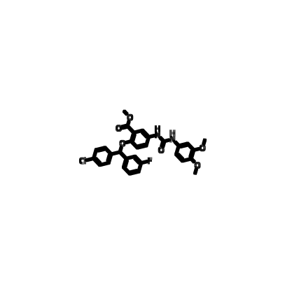 COC(=O)c1cc(NC(=O)Nc2ccc(OC)c(OC)c2)ccc1OC(c1ccc(Cl)cc1)c1cccc(F)c1